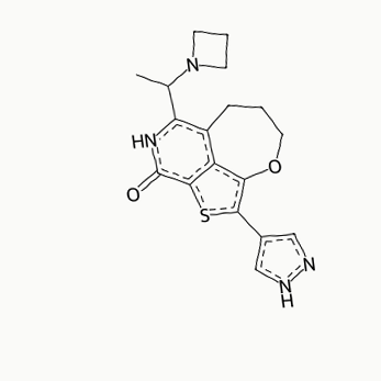 CC(c1[nH]c(=O)c2sc(-c3cn[nH]c3)c3c2c1CCCO3)N1CCC1